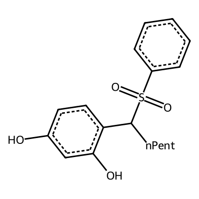 CCCCCC(c1ccc(O)cc1O)S(=O)(=O)c1ccccc1